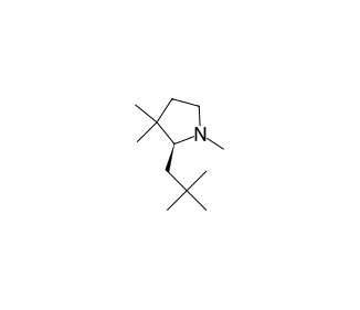 CN1CCC(C)(C)[C@@H]1CC(C)(C)C